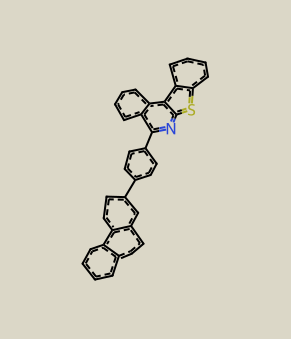 c1ccc2c(c1)ccc1cc(-c3ccc(-c4nc5sc6ccccc6c5c5ccccc45)cc3)ccc12